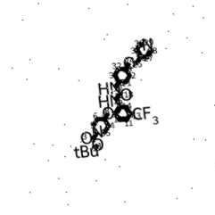 CC(C)(C)OC(=O)N1CCC(Oc2ccc(C(F)(F)F)cc2NC(=O)NC2CCC(OCc3ccncc3)CC2)CC1